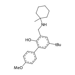 COc1ccc(-c2cc(C(C)(C)C)cc(CNC3(C)CCCCC3)c2O)cc1